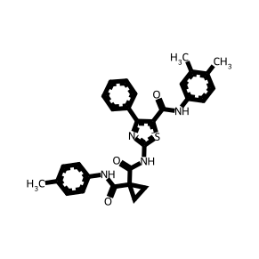 Cc1ccc(NC(=O)C2(C(=O)Nc3nc(-c4ccccc4)c(C(=O)Nc4ccc(C)c(C)c4)s3)CC2)cc1